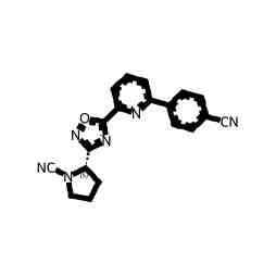 N#Cc1ccc(-c2cccc(-c3nc([C@@H]4CCCN4C#N)no3)n2)cc1